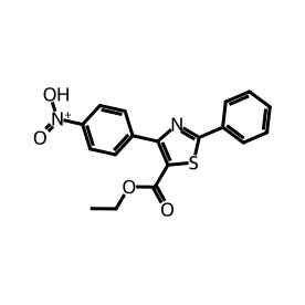 CCOC(=O)c1sc(-c2ccccc2)nc1-c1ccc([N+](=O)O)cc1